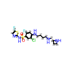 O=S(=O)(Nc1ncc(F)s1)c1cc(Cl)c(NCCCCNC[C@H]2CCN2)cc1F